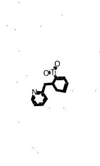 [O]=[Ti](=[O])[C]1=CC=CCC1Cc1ccccn1